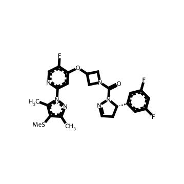 CSc1c(C)nn(-c2cc(OC3CN(C(=O)N4N=CC[C@H]4c4cc(F)cc(F)c4)C3)c(F)cn2)c1C